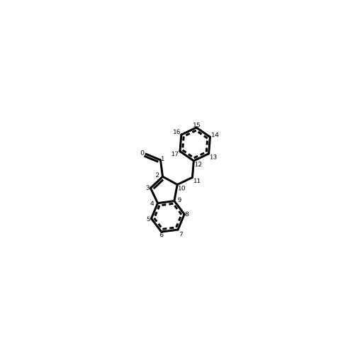 C=CC1=Cc2ccccc2C1Cc1ccccc1